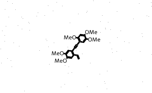 C=Cc1cc(OC)c(OC)cc1C#Cc1cc(OC)c(OC)cc1OC